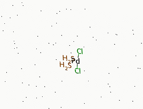 S.S.[Cl][Pd][Cl]